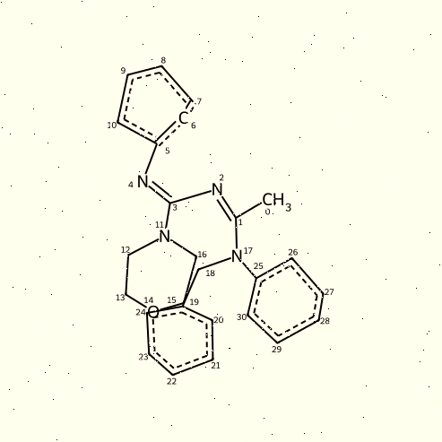 C/C(=N/C(=N\c1ccccc1)N1CCOCC1)N(Cc1ccccc1)c1ccccc1